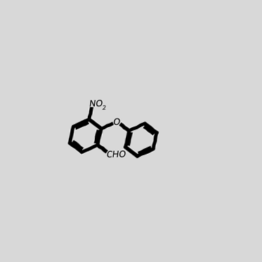 O=Cc1cccc([N+](=O)[O-])c1Oc1ccccc1